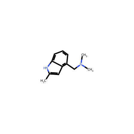 Cc1cc2c(CN(C)C)cccc2[nH]1